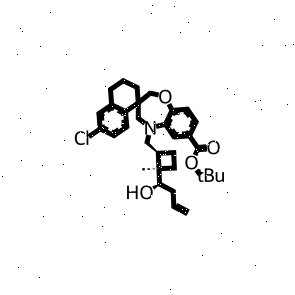 C=CC[C@@H](O)[C@]1(C)CC[C@@H]1CN1CC2(CCCc3cc(Cl)ccc32)COc2ccc(C(=O)OC(C)(C)C)cc21